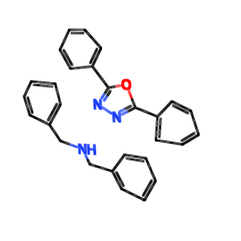 c1ccc(-c2nnc(-c3ccccc3)o2)cc1.c1ccc(CNCc2ccccc2)cc1